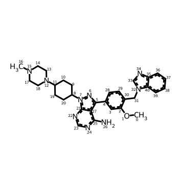 COc1cc(-c2nn(C3CCC(N4CCN(C)CC4)CC3)c3ncnc(N)c23)ccc1Cn1cnc2ccccc21